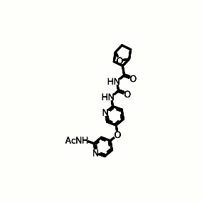 CC(=O)Nc1cc(Oc2ccc(NC(=O)NC(=O)C3CC4CCC3O4)nc2)ccn1